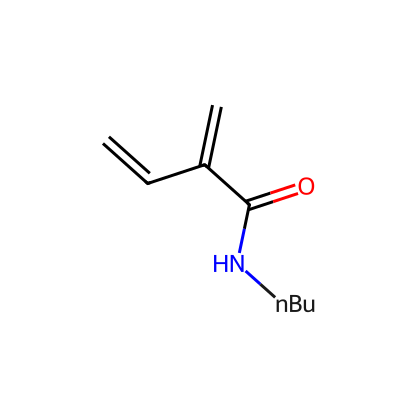 C=CC(=C)C(=O)NCCCC